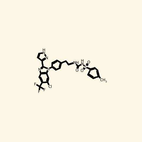 Cc1ccc(S(=O)(=O)NC(=O)NCCc2ccc(-n3c(-c4cc[nH]n4)nc4cc(C(F)(F)F)c(Cl)cc43)cc2)cc1